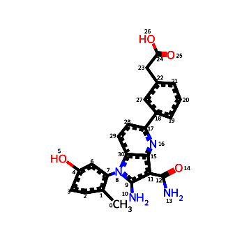 Cc1ccc(O)cc1-n1c(N)c(C(N)=O)c2nc(-c3cccc(CC(=O)O)c3)ccc21